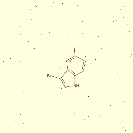 Cc1ccc2[nH]nc(Br)c2c1